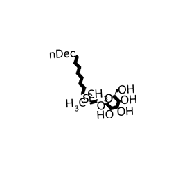 CCCCCCCCCCCCCCCCCC[Si](C)(C)CCO[C@@H]1O[C@H](CO)[C@@H](O)[C@H](O)[C@H]1O